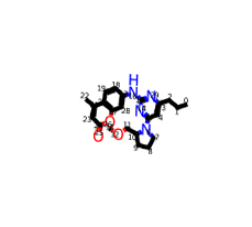 CCCc1cc(N2CCCC2COC)nc(Nc2ccc3c(C)cc(=O)oc3c2)n1